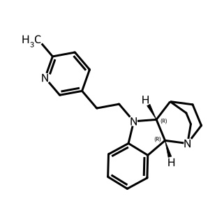 Cc1ccc(CCN2c3ccccc3[C@@H]3[C@H]2C2CCN3CC2)cn1